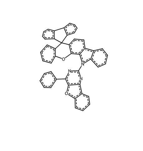 c1ccc(-c2nc(-n3c4ccccc4c4ccc5c(c43)Oc3ccccc3C53c4ccccc4-c4ccccc43)nc3c2oc2ccccc23)cc1